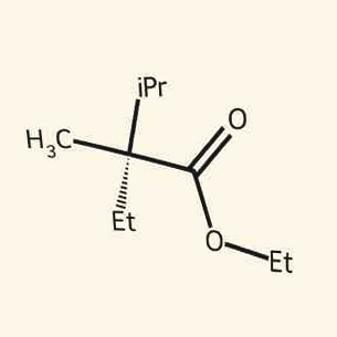 CCOC(=O)[C@](C)(CC)C(C)C